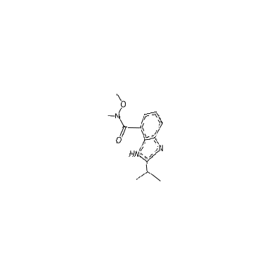 CON(C)C(=O)c1cccc2nc(C(C)C)[nH]c12